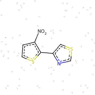 O=[N+]([O-])c1ccsc1-c1cscn1